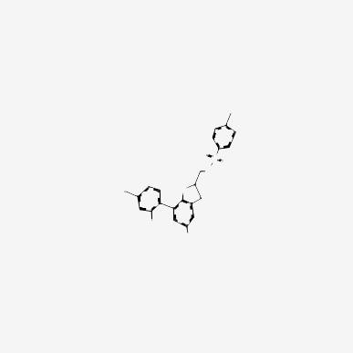 Cc1ccc(S(=O)(=O)OCC2Cc3cc(F)cc(-c4ccc(Cl)cc4Cl)c3O2)cc1